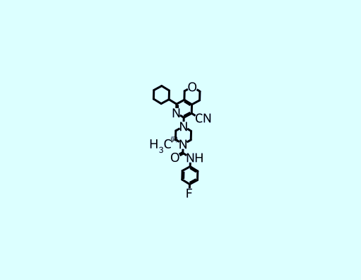 C[C@@H]1CN(c2nc(C3CCCCC3)c3c(c2C#N)CCOC3)CCN1C(=O)Nc1ccc(F)cc1